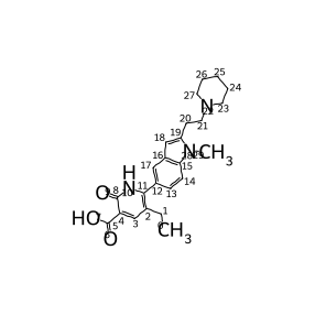 CCc1cc(C(=O)O)c(=O)[nH]c1-c1ccc2c(c1)cc(CCN1CCCCC1)n2C